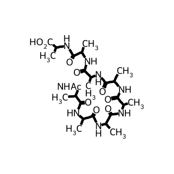 CC(=O)NC(C)C(=O)NC(C)C(=O)NC(C)C(=O)NC(C)C(=O)NC(C)C(=O)NC(C)C(=O)NC(C)C(=O)NC(C)C(=O)O